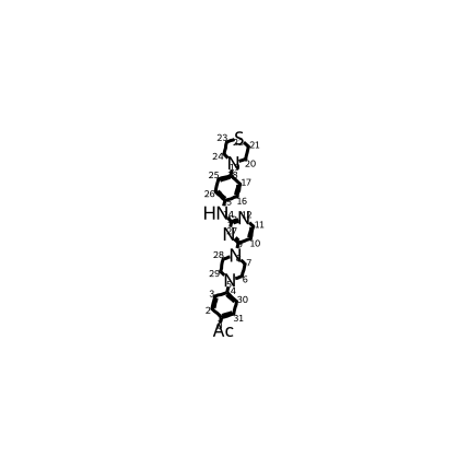 CC(=O)c1ccc(N2CCN(c3ccnc(Nc4ccc(N5CCSCC5)cc4)n3)CC2)cc1